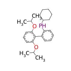 CC(C)Oc1cccc(OC(C)C)c1-c1ccccc1PC1CCCCC1